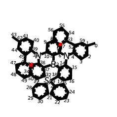 Cc1ccc(N2c3cccc4c3B3c5c2cccc5[Si](c2ccccc2)(c2ccccc2)c2cccc(c23)N4c2ccc(C)cc2-c2ccccn2)c(-c2ccccn2)c1